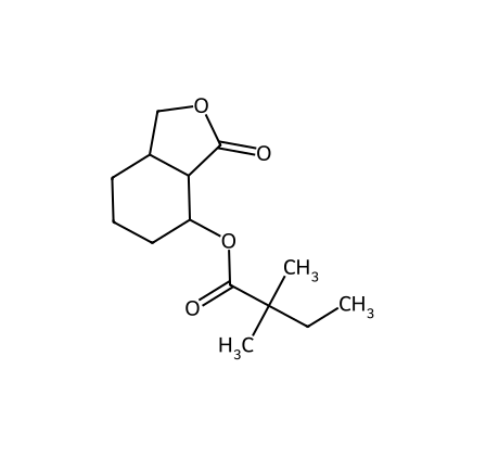 CCC(C)(C)C(=O)OC1CCCC2COC(=O)C21